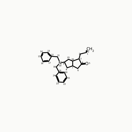 C=CCC1C(=O)CC2CC(N(Cc3ccccc3)Cc3ccccc3)CC21